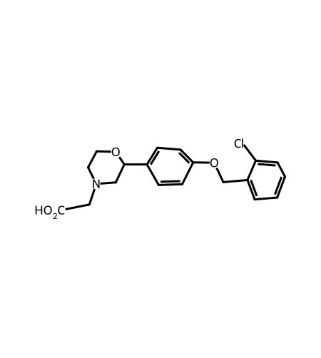 O=C(O)CN1CCOC(c2ccc(OCc3ccccc3Cl)cc2)C1